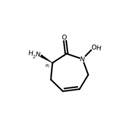 N[C@@H]1CC=CCN(O)C1=O